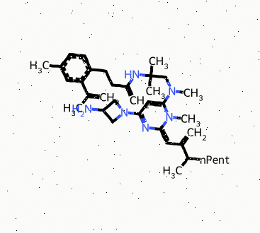 C=C(CCc1ccc(C)cc1C(=C)C)NC(C)(C)CN(C)C1=CC(N2CC(N)C2)=N/C(=C/C(=C)C(C)CCCCC)N1C